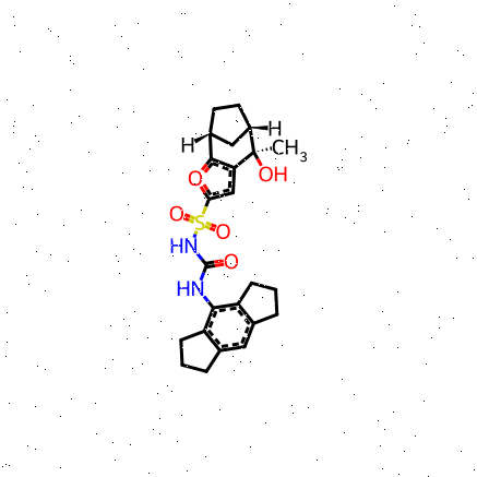 C[C@]1(O)c2cc(S(=O)(=O)NC(=O)Nc3c4c(cc5c3CCC5)CCC4)oc2[C@@H]2CC[C@H]1C2